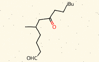 CCC(C)CCC(=O)CC(C)CCCC=O